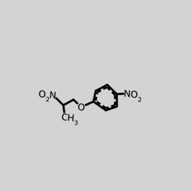 CC(COc1ccc([N+](=O)[O-])cc1)[N+](=O)[O-]